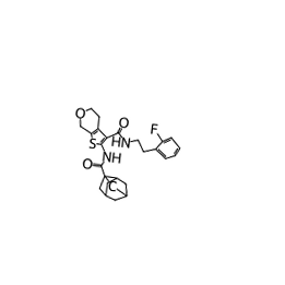 O=C(NCCc1ccccc1F)c1c(NC(=O)C23CC4CC(CC2C4)C3)sc2c1CCOC2